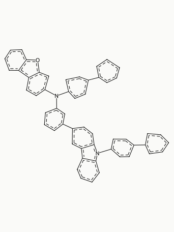 c1ccc(-c2ccc(N(c3cccc(-c4ccc5c(c4)c4ccccc4n5-c4ccc(-c5ccccc5)cc4)c3)c3ccc4c(c3)oc3ccccc34)cc2)cc1